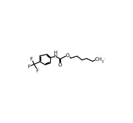 [CH2]CCCCCOC(=O)Nc1ccc(C(F)(F)F)cc1